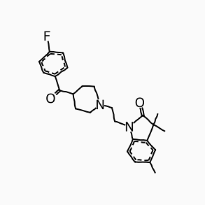 Cc1ccc2c(c1)C(C)(C)C(=O)N2CCN1CCC(C(=O)c2ccc(F)cc2)CC1